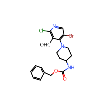 O=Cc1c(Cl)ncc(Br)c1N1CCC(NC(=O)OCc2ccccc2)CC1